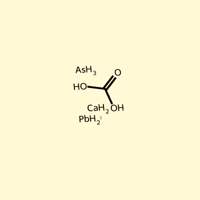 O=C(O)O.[AsH3].[CaH2].[PbH2]